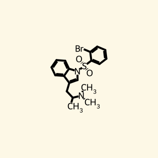 CC(Cc1cn(S(=O)(=O)c2ccccc2Br)c2ccccc12)N(C)C